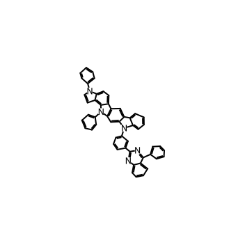 c1ccc(-c2nc(-c3cccc(-n4c5ccccc5c5cc6c7ccc8c(ccn8-c8ccccc8)c7n(-c7ccccc7)c6cc54)c3)nc3ccccc23)cc1